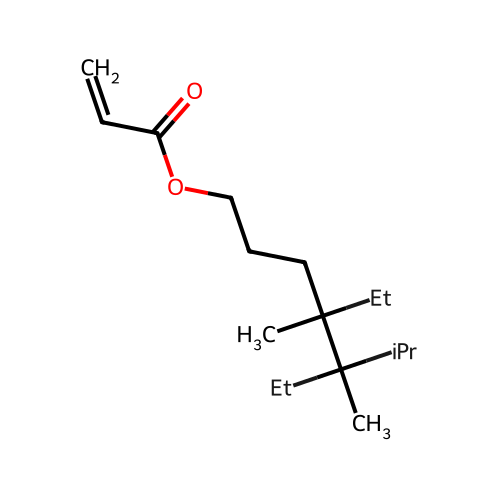 C=CC(=O)OCCCC(C)(CC)C(C)(CC)C(C)C